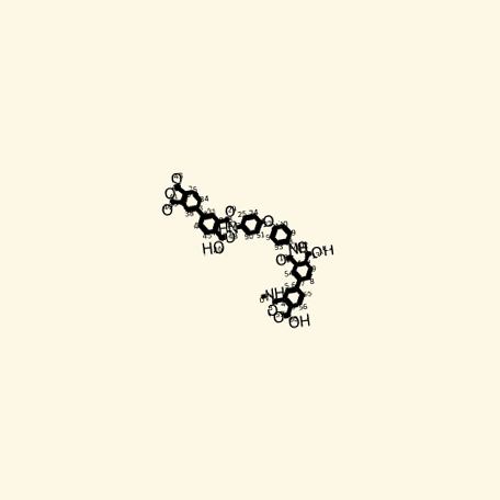 CNC(=O)c1cc(-c2ccc(C(=O)O)c(C(=O)Nc3ccc(Oc4ccc(NC(=O)c5cc(-c6ccc7c(c6)C(=O)OC7=O)ccc5C(=O)O)cc4)cc3)c2)ccc1C(=O)O